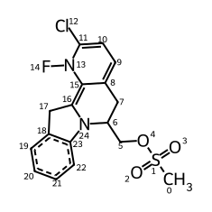 CS(=O)(=O)OCC1CC2=CC=C(Cl)N(F)C2=C2Cc3ccccc3N21